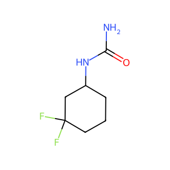 NC(=O)NC1CCCC(F)(F)C1